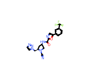 N#CN1C[C@H](NC(=O)c2ncc(-c3cccc(C(F)(F)F)c3)o2)C[C@@H]1Cn1ccnn1